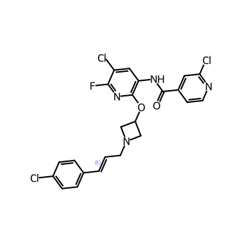 O=C(Nc1cc(Cl)c(F)nc1OC1CN(C/C=C/c2ccc(Cl)cc2)C1)c1ccnc(Cl)c1